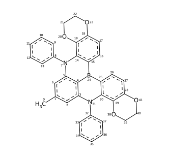 Cc1cc2c3c(c1)N(c1ccccc1)c1c(ccc4c1OCCO4)B3c1ccc3c(c1N2c1ccccc1)OCCO3